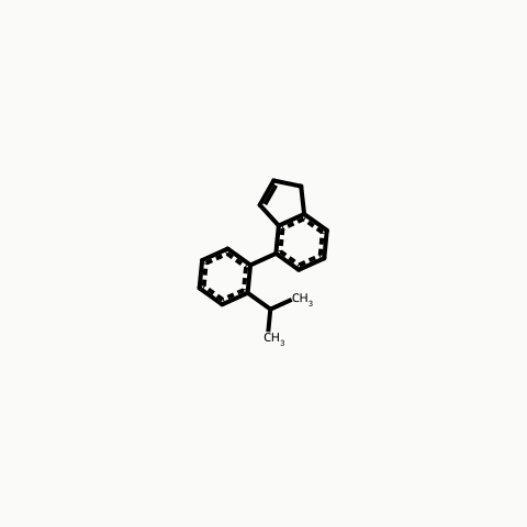 CC(C)c1ccccc1-c1cccc2c1C=CC2